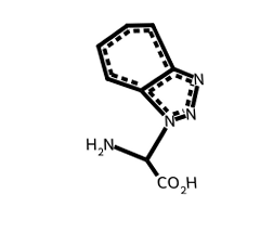 NC(C(=O)O)n1nnc2ccccc21